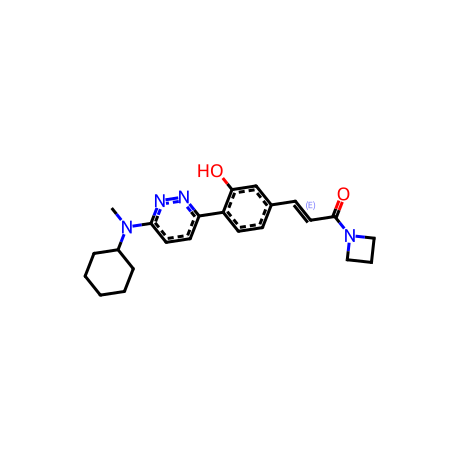 CN(c1ccc(-c2ccc(/C=C/C(=O)N3CCC3)cc2O)nn1)C1CCCCC1